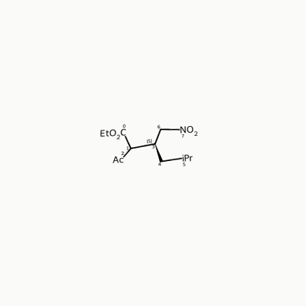 CCOC(=O)C(C(C)=O)[C@H](CC(C)C)C[N+](=O)[O-]